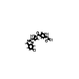 CCC(=O)Nc1ccc(C(=O)N2CC[C@@H](Nc3ncc4ccc(Cl)cc4n3)C2)cc1